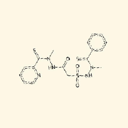 CN(NS(=O)(=O)CC(=O)NN(C)C(=S)c1ccccn1)C(=S)c1ccccc1